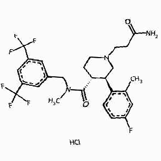 Cc1cc(F)ccc1[C@@H]1CN(CCC(N)=O)CC[C@H]1C(=O)N(C)Cc1cc(C(F)(F)F)cc(C(F)(F)F)c1.Cl